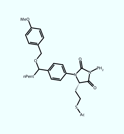 CCCCCC(OCc1ccc(OC)cc1)c1ccc(N2C(=O)N(P)C(=O)[C@@H]2CCSC(C)=O)cc1